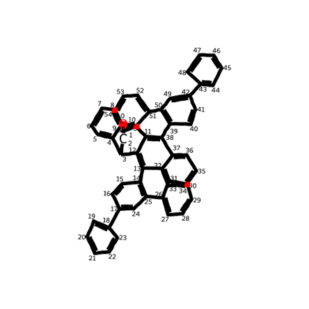 O=C1CC2c3ccccc3C1c1c2c(-c2ccc(-c3ccccc3)cc2-c2ccccc2)c2ccccc2c1-c1ccc(-c2ccccc2)cc1-c1ccccc1